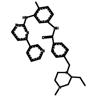 CCC1CN(C)CCN1Cc1ccc(C(=O)Nc2ccc(C)c(Nc3nccc(-c4cccnc4)n3)c2)cc1